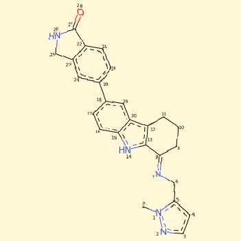 Cn1nccc1C/N=C1\CCCc2c1[nH]c1ccc(-c3ccc4c(c3)CNC4=O)cc21